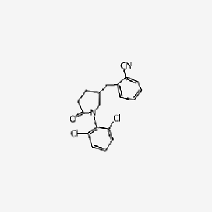 N#Cc1ccccc1CC1CCC(=O)N(c2c(Cl)cccc2Cl)C1